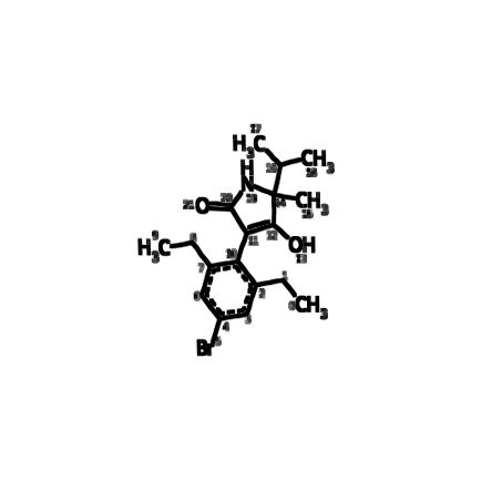 CCc1cc(Br)cc(CC)c1C1=C(O)C(C)(C(C)C)NC1=O